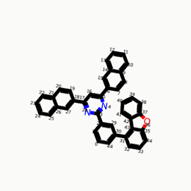 c1cc(-c2nc(-c3ccc4ccccc4c3)cc(-c3ccc4ccccc4c3)n2)cc(-c2cccc3oc4ccccc4c23)c1